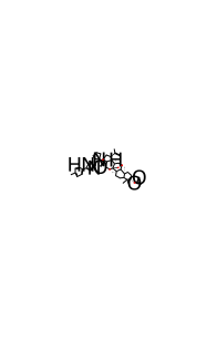 C=C(C)[C@@H]1CC[C@]2(C(=O)N3CCC[C@H]3c3ncc(-c4ccc(C)cc4)[nH]3)CC[C@]3(C)[C@H](CCC4[C@@]5(C)CC[C@H](OC(C)=O)C(C)(C)C5CC[C@]43C)C12